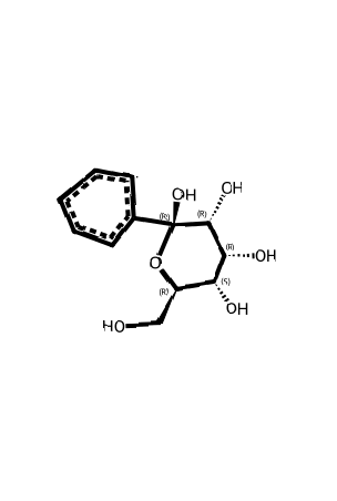 OC[C@H]1O[C@](O)(c2[c]cccc2)[C@H](O)[C@H](O)[C@@H]1O